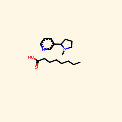 CCCCCCCC(=O)O.CN1CCCC1c1cccnc1